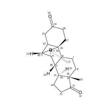 C[C@H]1O[C@@H]2C[C@@H]3C(CC[C@]4(C)C(=O)CC[C@@H]34)[C@]13CCC(=O)CC23